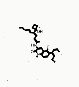 C/C=C\C(=C\CC)c1ccc2c(cc(N/C(C)=C/C=C(\C=C\CCC)C3(O)CCC3)c(=O)n2C)c1F